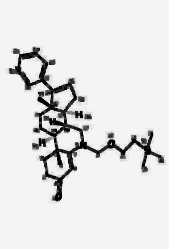 C[C@]12CCC(=O)C=C1N(COCC[Si](C)(C)C)C[C@@H]1[C@@H]2CC[C@]2(C)C(c3cccnc3)=CC[C@@H]12